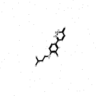 C=C1C=CC(c2ccc(OCCC(C)C)c(C)c2)=NN1